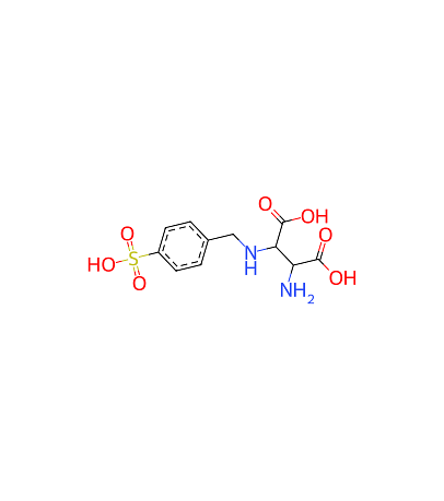 NC(C(=O)O)C(NCc1ccc(S(=O)(=O)O)cc1)C(=O)O